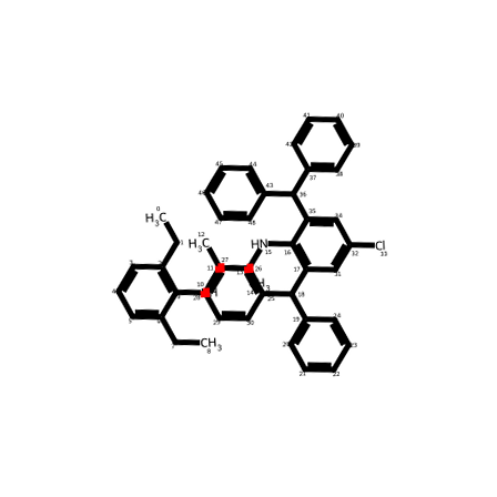 CCc1cccc(CC)c1NC(C)C(C)Nc1c(C(c2ccccc2)c2ccccc2)cc(Cl)cc1C(c1ccccc1)c1ccccc1